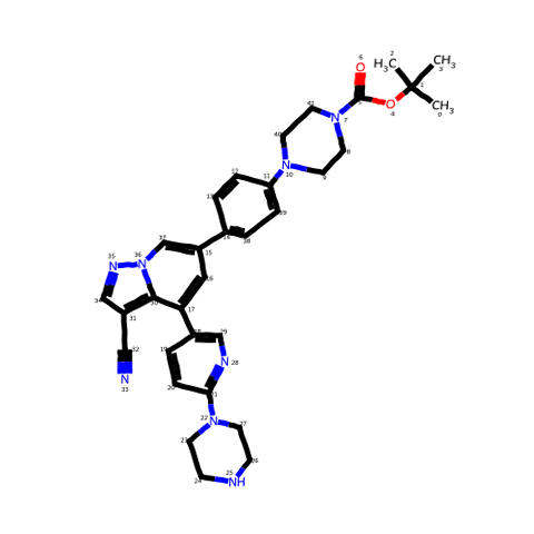 CC(C)(C)OC(=O)N1CCN(c2ccc(-c3cc(-c4ccc(N5CCNCC5)nc4)c4c(C#N)cnn4c3)cc2)CC1